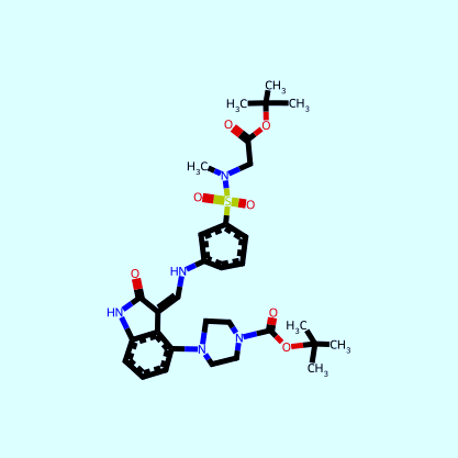 CN(CC(=O)OC(C)(C)C)S(=O)(=O)c1cccc(N/C=C2\C(=O)Nc3cccc(N4CCN(C(=O)OC(C)(C)C)CC4)c32)c1